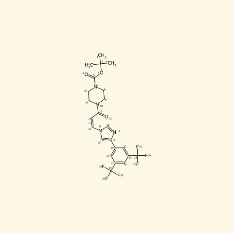 CC(C)(C)OC(=O)N1CCN(C(=O)/C=C\n2cnc(-c3cc(C(F)(F)F)cc(C(F)(F)F)c3)n2)CC1